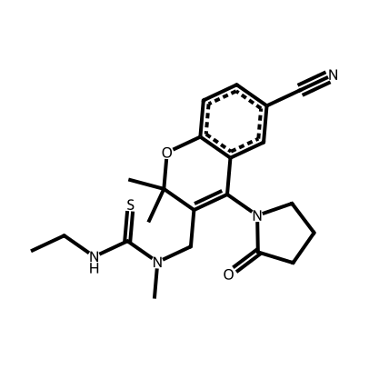 CCNC(=S)N(C)CC1=C(N2CCCC2=O)c2cc(C#N)ccc2OC1(C)C